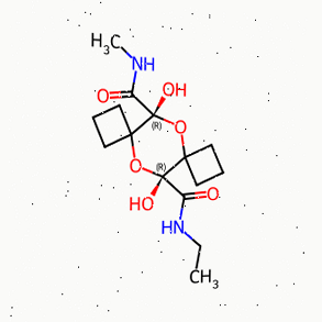 CCNC(=O)[C@]1(O)OC2(CCC2)[C@](O)(C(=O)NC)OC12CCC2